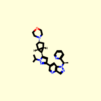 CC(C)n1nc(-c2cnc3cnn([C@H](C)c4ccccn4)c3c2)cc1[C@H]1[C@@H]2C[C@H](N3CCOCC3)C[C@@H]21